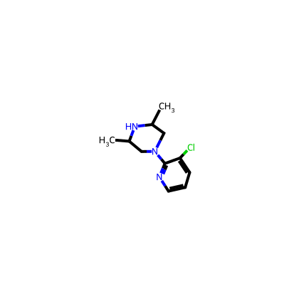 CC1CN(c2ncccc2Cl)CC(C)N1